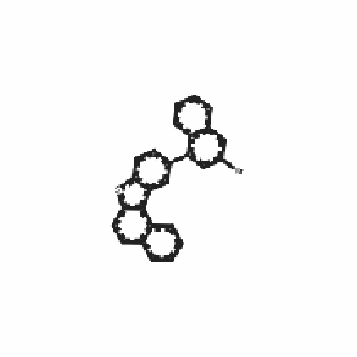 Brc1cc(-c2ccc3sc4ccc5ccccc5c4c3c2)c2ccccc2c1